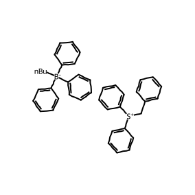 CCCC[B-](c1ccccc1)(c1ccccc1)c1ccccc1.c1ccc(C[S+](c2ccccc2)c2ccccc2)cc1